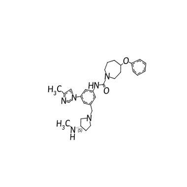 CN[C@H]1CCN(Cc2cc(NC(=O)N3CCCC(Oc4ccccc4)CC3)cc(-n3cnc(C)c3)c2)C1